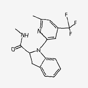 CNC(=O)C1Cc2ccccc2N1c1cc(C(F)(F)F)cc(C)n1